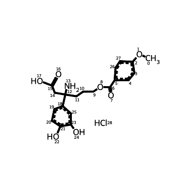 COc1ccc(C(=O)OCCCC(N)(CC(=O)O)c2ccc(O)c(O)c2)cc1.Cl